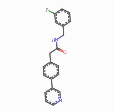 O=C(Cc1ccc(-c2cccnc2)cc1)NCc1cccc(F)c1